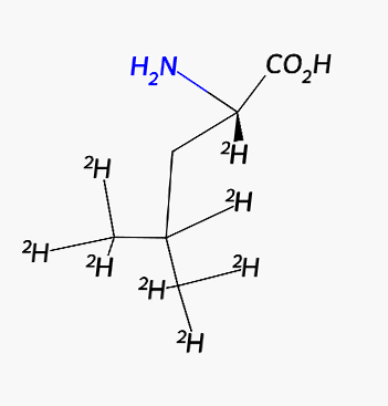 [2H]C([2H])([2H])C([2H])(C[C@]([2H])(N)C(=O)O)C([2H])([2H])[2H]